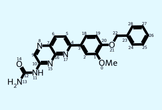 COc1cc(-c2ccc3ncc(NC(N)=O)nc3n2)ccc1OCc1ccccc1